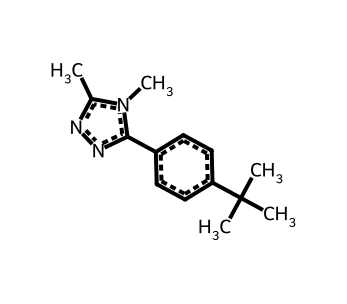 Cc1nnc(-c2ccc(C(C)(C)C)cc2)n1C